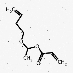 C=CCCOC(C)OC(=O)C=C